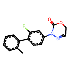 Cc1ccccc1-c1ccc(N2N=CCOC2=O)cc1F